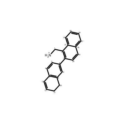 NCc1c(-c2ccc3c(c2)CCC=C3)ccc2ccccc12